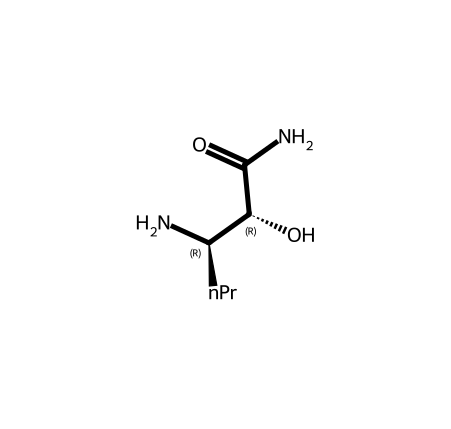 CCC[C@@H](N)[C@@H](O)C(N)=O